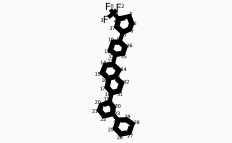 FC(F)(F)c1cccc(-c2ccc(-c3ccc4cc(-c5cccc(-c6ccccc6)c5)ccc4c3)cc2)c1